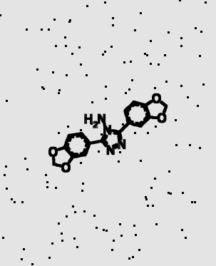 Nn1c(-c2ccc3c(c2)OCO3)nnc1-c1ccc2c(c1)OCO2